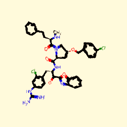 CN[C@H](CCc1ccccc1)C(=O)N1C[C@H](OCc2ccc(Cl)cc2)C[C@H]1C(=O)N[C@@H](Cc1ccc(NC(=N)N)cc1Cl)C(=O)c1nc2ccccc2o1